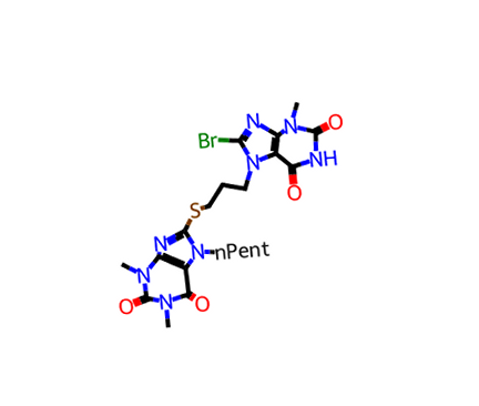 CCCCCn1c(SCCCn2c(Br)nc3c2c(=O)[nH]c(=O)n3C)nc2c1c(=O)n(C)c(=O)n2C